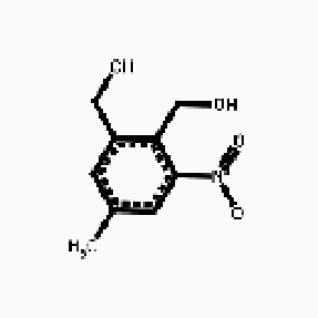 Cc1cc(CO)c(CO)c([N+](=O)[O-])c1